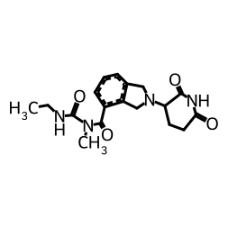 CCNC(=O)N(C)C(=O)c1cccc2c1CN(C1CCC(=O)NC1=O)C2